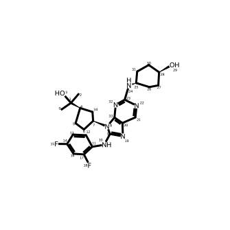 CC(C)(O)[C@@H]1CC[C@H](n2c(Nc3ccc(F)cc3F)nc3cnc(N[C@H]4CC[C@H](O)CC4)nc32)C1